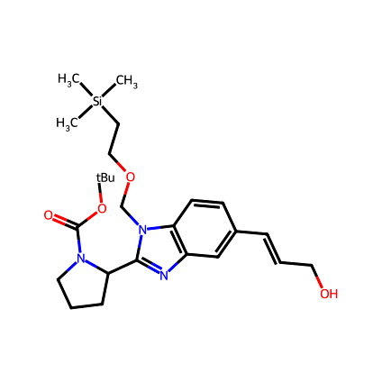 CC(C)(C)OC(=O)N1CCCC1c1nc2cc(C=CCO)ccc2n1COCC[Si](C)(C)C